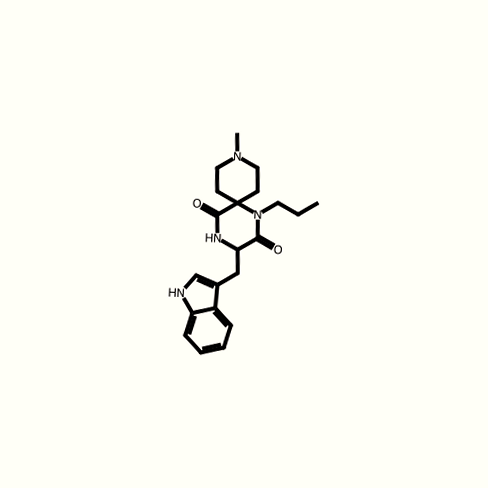 CCCN1C(=O)C(Cc2c[nH]c3ccccc23)NC(=O)C12CCN(C)CC2